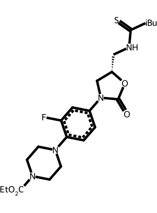 CCOC(=O)N1CCN(c2ccc(N3C[C@H](CNC(=S)C(C)CC)OC3=O)cc2F)CC1